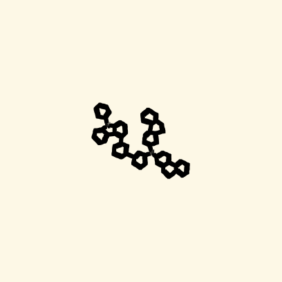 c1ccc(-n2c3ccccc3c3c(-c4cccc(-c5cccc(N(c6ccc7c(ccc8ccccc87)c6)c6ccc7c(ccc8ccccc87)c6)c5)c4)cccc32)cc1